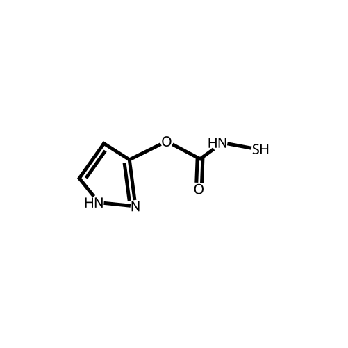 O=C(NS)Oc1cc[nH]n1